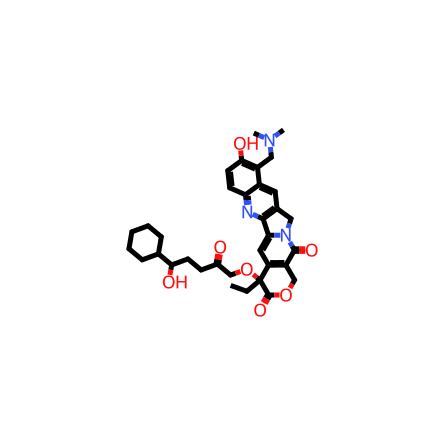 CCC1(OCC(=O)CCC(O)C2CCCCC2)C(=O)OCc2c1cc1n(c2=O)Cc2cc3c(CN(C)C)c(O)ccc3nc2-1